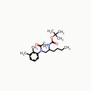 CCCCC(CN(C(C)=O)c1cccc(C)c1C)NC(=O)OC(C)(C)C